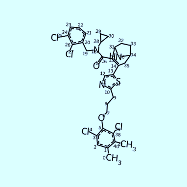 Cc1cc(Cl)c(OCCCc2ncc(C3=C(C(=O)N(Cc4cccc(Cl)c4Cl)C4CC4)C4CCC(C3)N4)s2)c(Cl)c1C